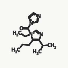 CCCC1=C(C(C)C)N=C[N+]1(CC)C(=O)n1ccnc1